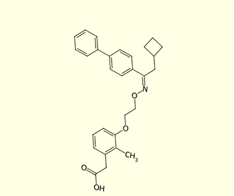 Cc1c(CC(=O)O)cccc1OCCON=C(CC1CCC1)c1ccc(-c2ccccc2)cc1